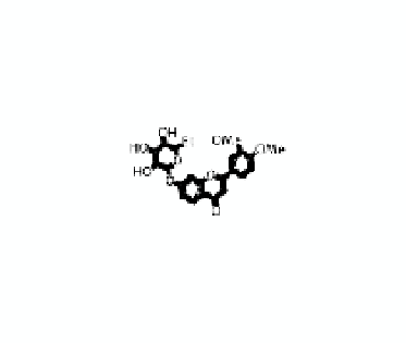 CCC1OC(Oc2ccc3c(c2)OC(c2ccc(OC)c(OC)c2)CC3=O)C(O)C(O)C1O